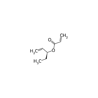 C=CC(=O)O[C@H](C=C)CC